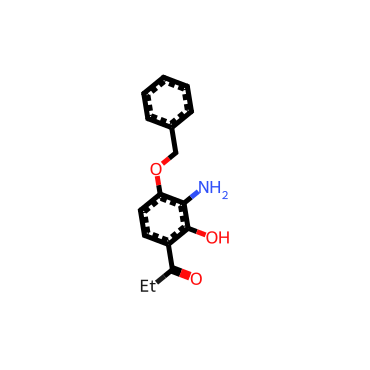 CCC(=O)c1ccc(OCc2ccccc2)c(N)c1O